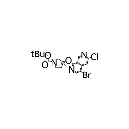 CC(C)(C)OC(=O)N1CC[C@@H](Oc2ncc(Br)c3cc(Cl)ncc23)C1